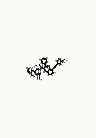 C[C@H](NC(=O)c1c(N)ncn2ccnc12)c1cc2cccc(C#Cc3cnn(C)c3)c2nc1-c1ccccc1